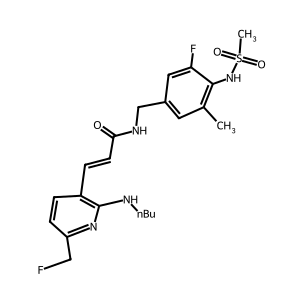 CCCCNc1nc(CF)ccc1/C=C/C(=O)NCc1cc(C)c(NS(C)(=O)=O)c(F)c1